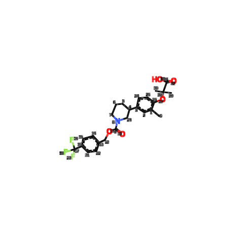 Cc1cc(C2CCCN(C(=O)OCc3ccc(C(F)(F)F)cc3)C2)ccc1OC(C)(C)C(=O)O